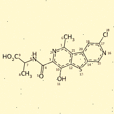 Cc1nc(C(=O)NC(C)C(=O)O)c(O)c2sc3cnc(Cl)cc3c12